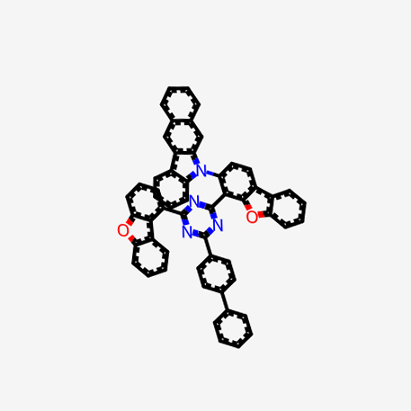 c1ccc(-c2ccc(-c3nc(-c4c(-n5c6ccccc6c6cc7ccccc7cc65)ccc5c4oc4ccccc45)nc(-c4cccc5oc6ccccc6c45)n3)cc2)cc1